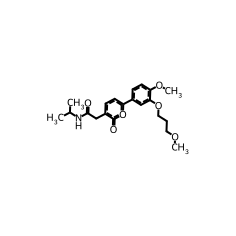 COCCCOc1cc(-c2ccc(CC(=O)NC(C)C)c(=O)o2)ccc1OC